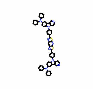 c1ccc(N(c2ccccc2)c2ccc3c(c2)c2cnccc2n3-c2ccc(-c3nc4cc5nc(-c6ccc(-n7c8ccncc8c8cc(N(c9ccccc9)c9ccccc9)ccc87)cc6)sc5nc4s3)cc2)cc1